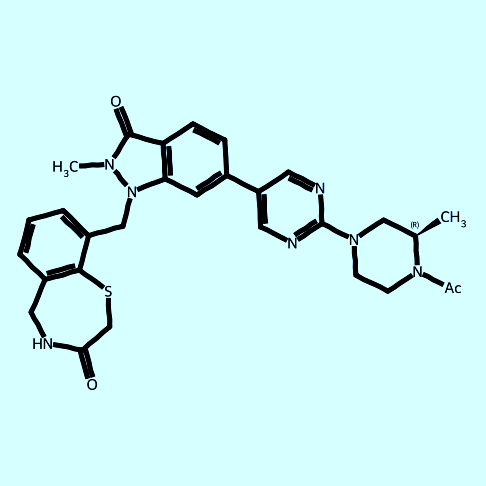 CC(=O)N1CCN(c2ncc(-c3ccc4c(=O)n(C)n(Cc5cccc6c5SCC(=O)NC6)c4c3)cn2)C[C@H]1C